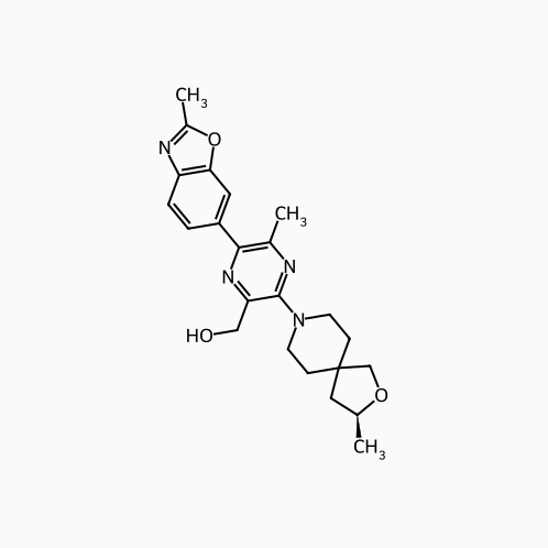 Cc1nc2ccc(-c3nc(CO)c(N4CCC5(CC4)CO[C@@H](C)C5)nc3C)cc2o1